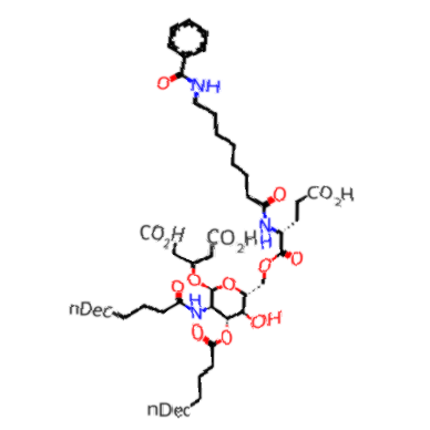 CCCCCCCCCCCCCC(=O)N[C@H]1[C@@H](OC(CC(=O)O)CC(=O)O)O[C@H](COC(=O)[C@@H](CCC(=O)O)NC(=O)CCCCCCCNC(=O)c2ccccc2)[C@@H](O)[C@@H]1OC(=O)CCCCCCCCCCCCC